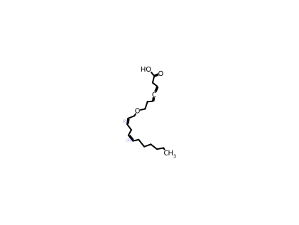 CCCCCC/C=C\C/C=C\COCCC=C=CCC(=O)O